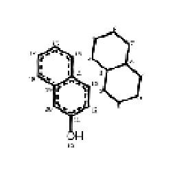 C1CCC2CCCCC2C1.Oc1ccc2ccccc2c1